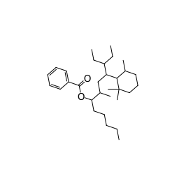 CCCCCC(OC(=O)c1ccccc1)C(C)CC(C(CC)CC)C1C(C)CCCC1(C)C